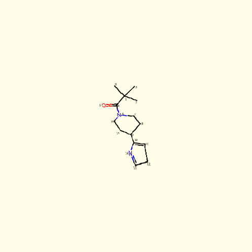 CC(C)(C)C(=O)N1CCC(C2=CCC=N2)CC1